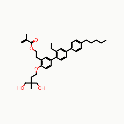 C=C(C)C(=O)OCCc1cc(-c2ccc(-c3ccc(CCCCC)cc3)cc2CC)ccc1OCCC(C)(CO)CO